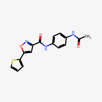 CC(=O)Nc1ccc(NC(=O)c2cc(-c3cccs3)on2)cc1